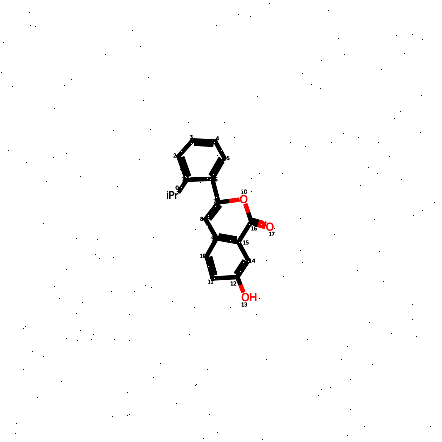 CC(C)c1ccccc1-c1cc2ccc(O)cc2c(=O)o1